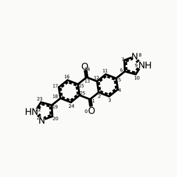 O=C1c2ccc(-c3cn[nH]c3)cc2C(=O)c2ccc(-c3cn[nH]c3)cc21